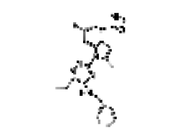 CCc1nnc(-n2c(C)cc3c(C(N)=O)cc(F)cc32)nc1NCc1ccccc1